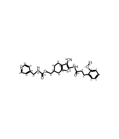 CCOc1ccccc1CCC(=O)Nc1sc2c(c1C#N)CCC(COC(=O)NCc1ccncc1)C2